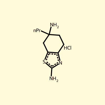 CCCC1(N)CCc2nc(N)sc2C1.Cl